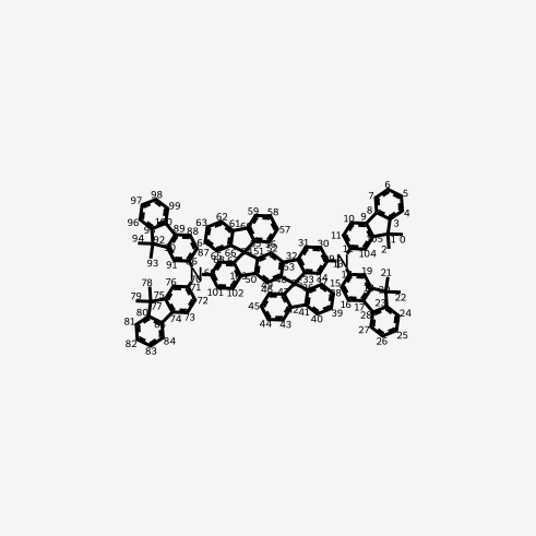 CC1(C)c2ccccc2-c2ccc(N(c3ccc4c(c3)C(C)(C)c3ccccc3-4)c3ccc4c(c3)C3(c5ccccc5-c5ccccc53)c3cc5c(cc3-4)C3(c4ccccc4-c4ccccc43)c3cc(N(c4ccc6c(c4)C(C)(C)c4ccccc4-6)c4ccc6c(c4)C(C)(C)c4ccccc4-6)ccc3-5)cc21